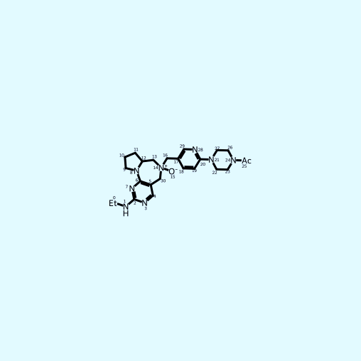 CCNc1ncc2c(n1)N1CCCC1C[N+]([O-])(Cc1ccc(N3CCN(C(C)=O)CC3)nc1)C2